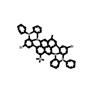 Cc1cc2c3c(cc4c([Si](C)(C)C)cc5c6c(cc1c3c46)B1c3ccccc3N(c3ccccc3)c3cc(Br)cc-5c31)B1c3ccccc3N(c3ccccc3)c3cc(Br)cc-2c31